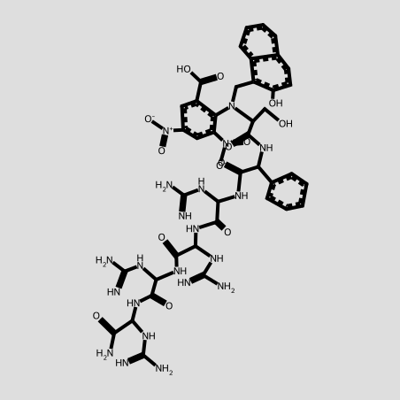 N=C(N)NC(NC(=O)C(NC(=N)N)NC(=O)C(NC(=N)N)NC(=O)C(NC(=N)N)NC(=O)C(NC(=O)C(CO)N(Cc1c(O)ccc2ccccc12)c1c(C(=O)O)cc([N+](=O)[O-])cc1[N+](=O)[O-])c1ccccc1)C(N)=O